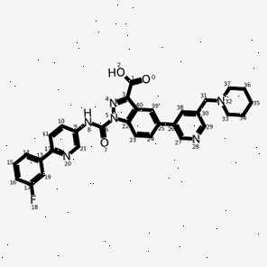 O=C(O)c1nn(C(=O)Nc2ccc(-c3cccc(F)c3)nc2)c2ccc(-c3cncc(CN4CCCCC4)c3)cc12